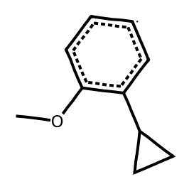 COc1cc[c]cc1C1CC1